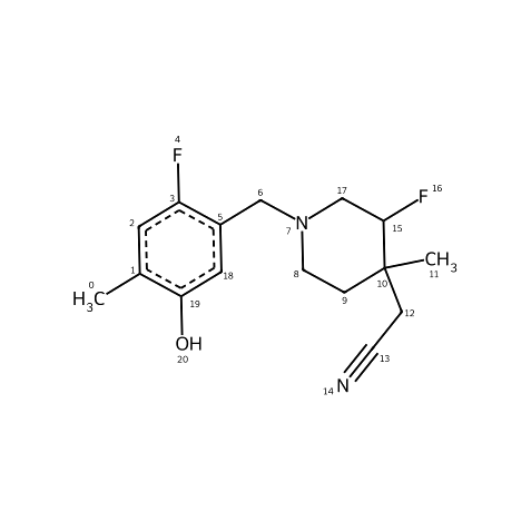 Cc1cc(F)c(CN2CCC(C)(CC#N)C(F)C2)cc1O